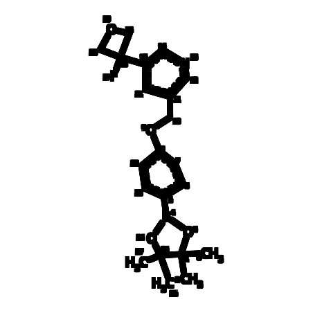 CC1(C)OB(c2ccc(OCc3cncc(C4(F)COC4)c3)cc2)OC1(C)C